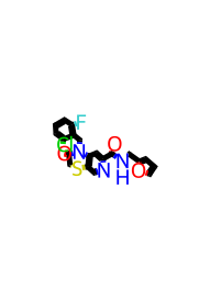 O=C(NCc1ccco1)c1cc2c(cn1)SCC(=O)N2Cc1c(F)cccc1Cl